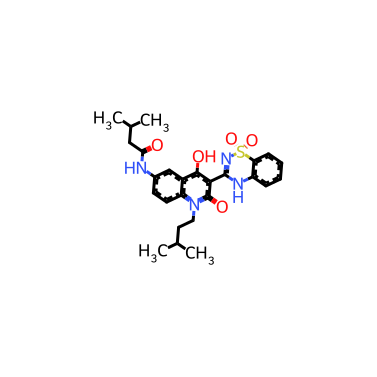 CC(C)CCn1c(=O)c(C2=NS(=O)(=O)c3ccccc3N2)c(O)c2cc(NC(=O)CC(C)C)ccc21